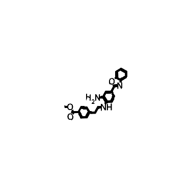 COC(=O)c1ccc(CCNc2ccc(-c3nc4ccccc4o3)cc2N)cc1